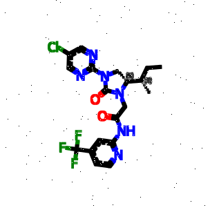 CC[C@H](C)[C@H]1CN(c2ncc(Cl)cn2)C(=O)N1CC(=O)Nc1cc(C(F)(F)F)ccn1